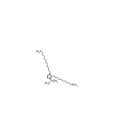 CCCCCCCCCCCCn1cc[n+](C(C)C)c1CCCCCCCCCCC